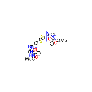 COC(=O)N[C@H](C1C=CC=CC1)C(O)N1CC=C[C@H]1c1ncc(-c2ccc(-c3cc4sc(-c5cnc([C@@H]6CCCN6C(=O)[C@H](NC(=O)OC)c6ccccc6)[nH]5)cc4s3)cc2)[nH]1